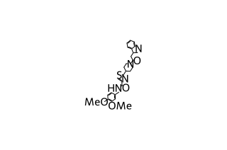 COc1ccc(CNC(=O)c2csc(C3CCN(C(=O)CC4C=Nc5ccccc54)CC3)n2)cc1OC